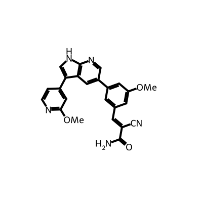 COc1cc(/C=C(\C#N)C(N)=O)cc(-c2cnc3[nH]cc(-c4ccnc(OC)c4)c3c2)c1